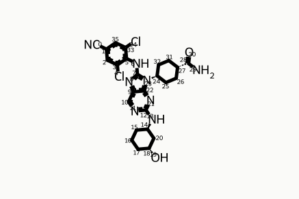 N#Cc1cc(Cl)c(Nc2nc3cnc(N[C@@H]4CCC[C@@H](O)C4)nc3n2[C@H]2CC[C@@H](C(N)=O)CC2)c(Cl)c1